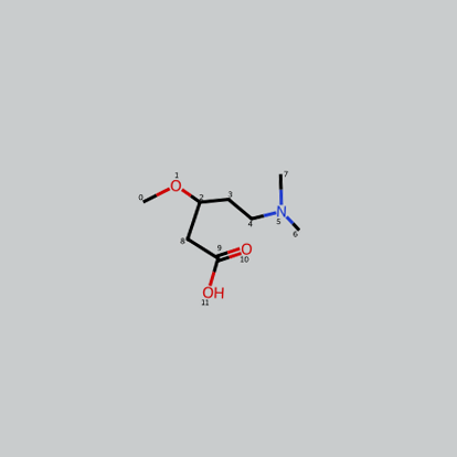 COC(CCN(C)C)CC(=O)O